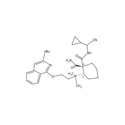 CCCCc1cc2ccccc2c(OCC[N+](C)(C)[C@H]2CCCC[C@@]2(C(N)=O)C(=O)NC(C#N)C2CC2)n1